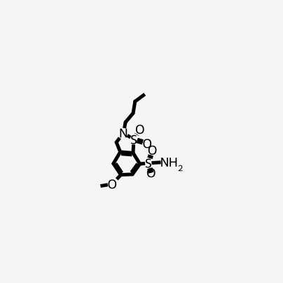 CCCCN1Cc2cc(OC)cc(S(N)(=O)=O)c2S1(=O)=O